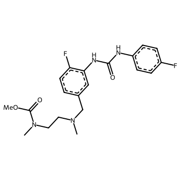 COC(=O)N(C)CCN(C)Cc1ccc(F)c(NC(=O)Nc2ccc(F)cc2)c1